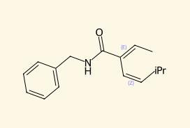 C/C=C(\C=C/C(C)C)C(=O)NCc1ccccc1